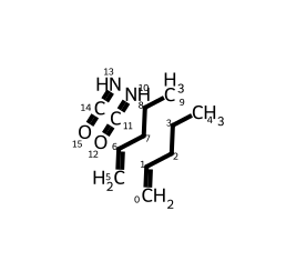 C=CCCC.C=CCCC.N=C=O.N=C=O